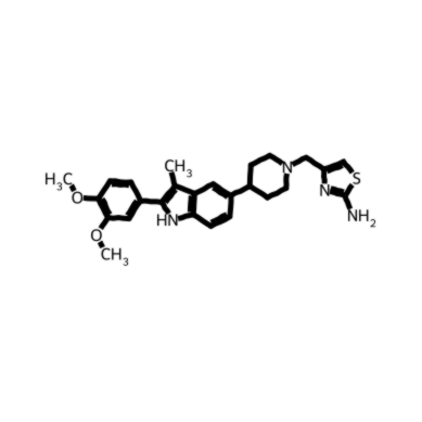 COc1ccc(-c2[nH]c3ccc(C4CCN(Cc5csc(N)n5)CC4)cc3c2C)cc1OC